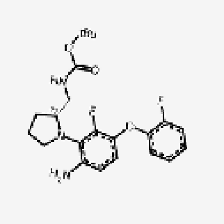 CC(C)(C)OC(=O)NC[C@H]1CCCN1c1c(N)ccc(Oc2ccccc2F)c1F